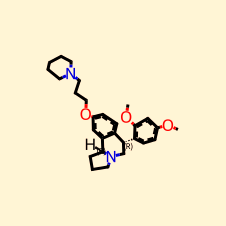 COc1ccc([C@@H]2CN3CCC[C@@H]3c3cc(OCCCN4CCCCC4)ccc32)c(OC)c1